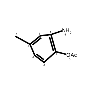 CC(=O)Oc1ccc(C)cc1N